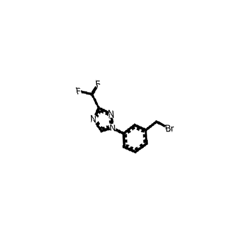 FC(F)c1ncn(-c2cccc(CBr)c2)n1